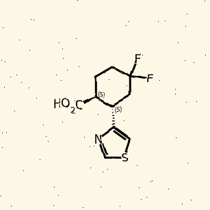 O=C(O)[C@H]1CCC(F)(F)C[C@@H]1c1cscn1